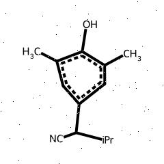 Cc1cc(C(C#N)C(C)C)cc(C)c1O